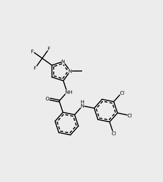 Cn1nc(C(F)(F)F)cc1NC(=O)c1ccccc1Nc1cc(Cl)c(Cl)c(Cl)c1